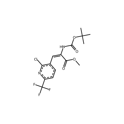 COC(=O)/C(=C\c1ccc(C(F)(F)F)nc1Cl)NC(=O)OC(C)(C)C